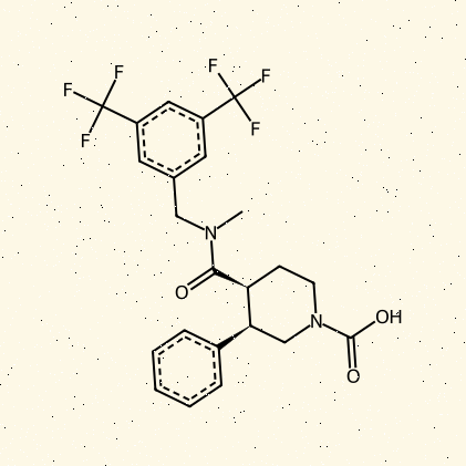 CN(Cc1cc(C(F)(F)F)cc(C(F)(F)F)c1)C(=O)[C@H]1CCN(C(=O)O)C[C@H]1c1ccccc1